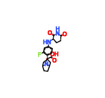 O=C(O)CN1C2CCC1CC(c1ccc(NC3CCC(=O)NC3=O)cc1F)C2